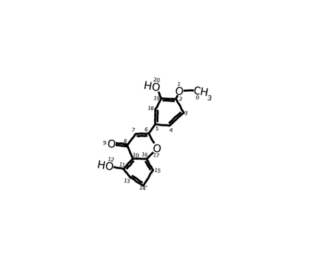 COc1ccc(-c2cc(=O)c3c(O)c[c]cc3o2)cc1O